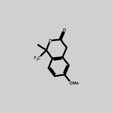 COc1ccc2c(c1)CC(=O)OC2(C)C(F)(F)F